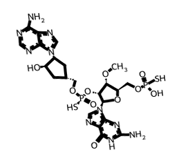 CO[C@H]1[C@@H](O[P@@](=O)(S)OC[C@@H]2C[C@@H](O)[C@H](n3cnc4c(N)ncnc43)C2)[C@H](n2cnc3c(=O)[nH]c(N)nc32)O[C@@H]1COP(=O)(O)S